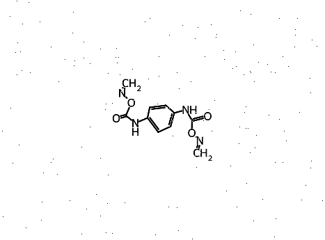 C=NOC(=O)Nc1ccc(NC(=O)ON=C)cc1